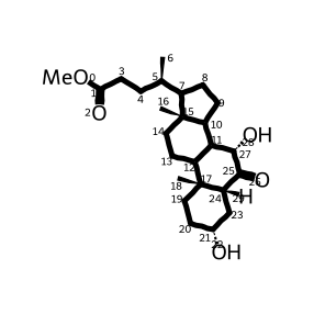 COC(=O)CC[C@@H](C)C1CCC2C3C(CC[C@@]21C)[C@@]1(C)CC[C@@H](O)C[C@H]1C(=O)[C@H]3O